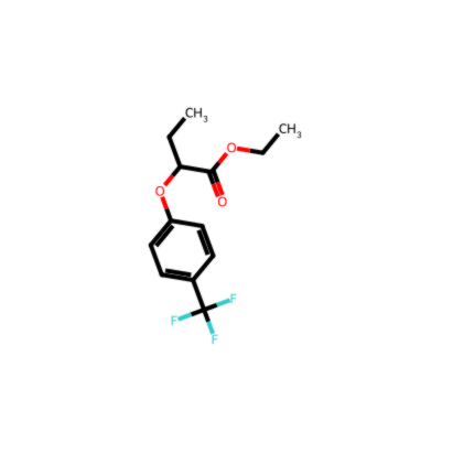 CCOC(=O)C(CC)Oc1ccc(C(F)(F)F)cc1